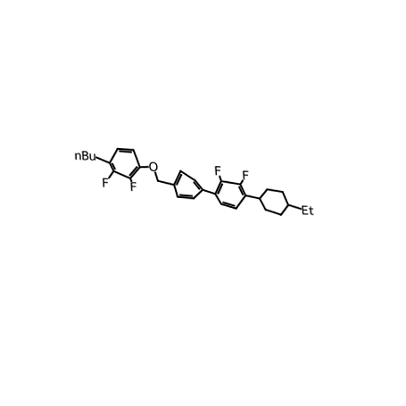 CCCCc1ccc(OCc2ccc(-c3ccc(C4CCC(CC)CC4)c(F)c3F)cc2)c(F)c1F